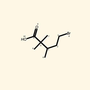 CC(CCBr)C(C)(C)C(=O)O